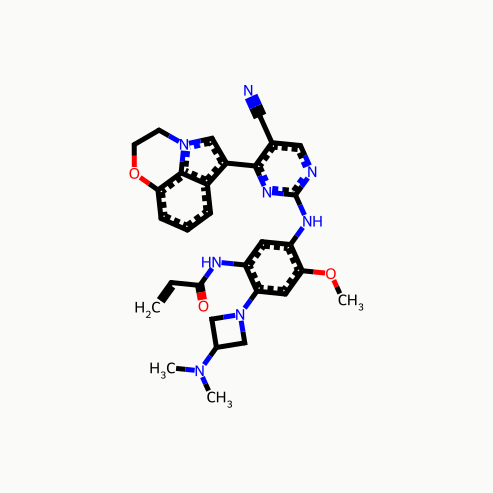 C=CC(=O)Nc1cc(Nc2ncc(C#N)c(-c3cn4c5c(cccc35)OCC4)n2)c(OC)cc1N1CC(N(C)C)C1